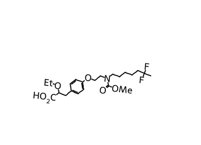 CCOC(Cc1ccc(OCCN(CCCCCC(C)(F)F)C(=O)OC)cc1)C(=O)O